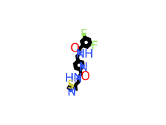 O=C(NCc1ccc(C(=O)NCc2cncs2)nc1)c1cc(F)cc(F)c1